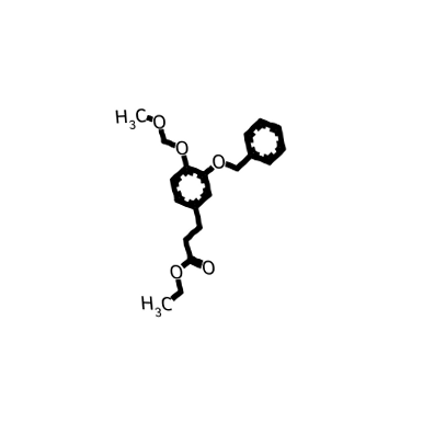 CCOC(=O)CCc1ccc(OCOC)c(OCc2ccccc2)c1